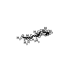 CCC(/C=C/C(C)=O)=C\C(O)C[C@H](C)C[C@@H](C)CC[C@H](O)[C@H](C)C(=O)C[C@@H](O)[C@H](C)[C@@H](C)OC(=O)C[C@@H](O)C1=C(C)C(=O)OC1=O